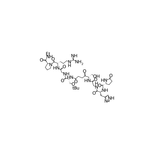 CCNC(=O)[C@@H]1CCCN1C(=O)[C@H](CCCNC(=N)N)NC(=O)CNC(=O)[C@@H](COC(C)(C)C)NC(=O)CCC(=O)[C@H](CO)NC(=O)CNC(=O)[C@H](Cc1c[nH]cn1)NC(=O)[C@H]1CCC(=O)N1